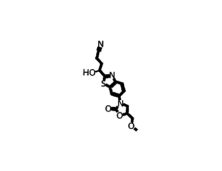 COCC1CN(c2ccc3nc([C@@H](O)CCC#N)sc3c2)C(=O)O1